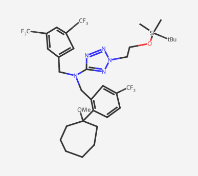 COC1(c2ccc(C(F)(F)F)cc2CN(Cc2cc(C(F)(F)F)cc(C(F)(F)F)c2)c2nnn(CCO[Si](C)(C)C(C)(C)C)n2)CCCCCC1